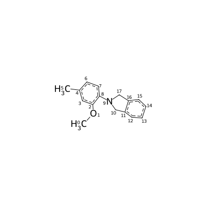 COc1cc(C)ccc1N1Cc2ccccc2C1